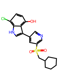 O=S(=O)(CC1CCCCC1)c1cncc(-c2c[nH]c3c(Cl)ccc(O)c23)c1